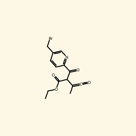 CCOC(=O)C(C(=O)c1ccc(CBr)cn1)C(C)=C=O